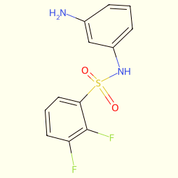 Nc1cccc(NS(=O)(=O)c2cccc(F)c2F)c1